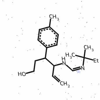 C=CC(N/C=N\C(C)(C)CC)C(CCO)c1ccc(C)cc1